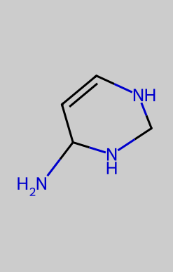 NC1C=CNCN1